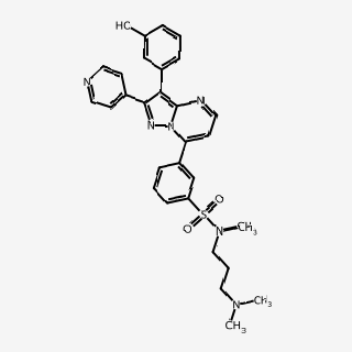 CN(C)CCCN(C)S(=O)(=O)c1cccc(-c2ccnc3c(-c4cccc(O)c4)c(-c4ccncc4)nn23)c1